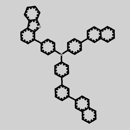 c1cc(-c2ccc(N(c3ccc(-c4ccc5ccccc5c4)cc3)c3ccc(-c4cccc5c4sc4ccccc45)cc3)cc2)cc(-c2ccc3ccccc3c2)c1